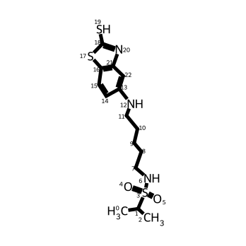 CC(C)S(=O)(=O)NCCCCCNc1ccc2sc(S)nc2c1